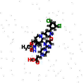 CS(=O)(=O)NC1[C@H]2CCN(Cc3cc(Oc4cnc(N5CCN(CCC(=O)O)CC5)nc4)nc(-c4cc(Cl)cc(Cl)c4)c3)CC[C@@H]12